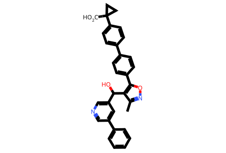 Cc1noc(-c2ccc(-c3ccc(C4(C(=O)O)CC4)cc3)cc2)c1C(O)c1cncc(-c2ccccc2)c1